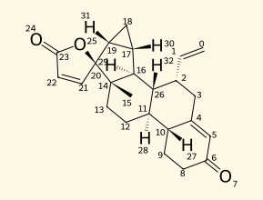 C=C[C@@H]1CC2=CC(=O)CC[C@@H]2[C@H]2CC[C@@]3(C)[C@@H]([C@H]4C[C@H]4[C@@]34C=CC(=O)O4)[C@@H]21